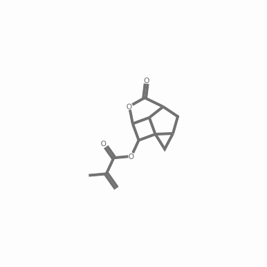 C=C(C)C(=O)OC1C2OC(=O)C3CC4CC41C32